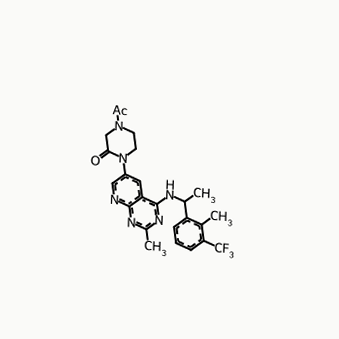 CC(=O)N1CCN(c2cnc3nc(C)nc(NC(C)c4cccc(C(F)(F)F)c4C)c3c2)C(=O)C1